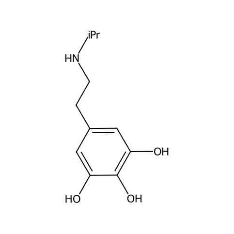 CC(C)NCCc1cc(O)c(O)c(O)c1